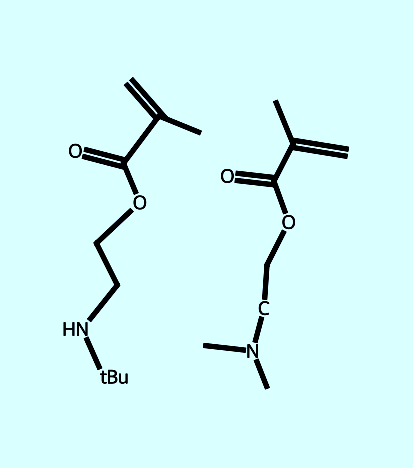 C=C(C)C(=O)OCCN(C)C.C=C(C)C(=O)OCCNC(C)(C)C